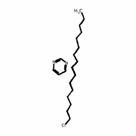 CCCCCCCCCCCCCCCCCl.c1cncnc1